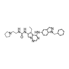 CCc1c(NC(=O)NCCN2CCCC2)cn2ncnc(Nc3ccc4c(cnn4Cc4ccccc4)c3)c12